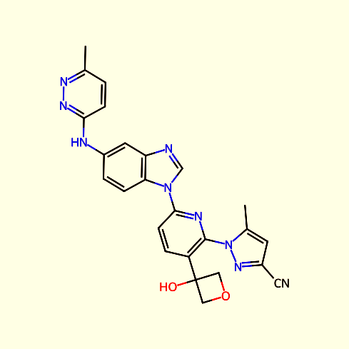 Cc1ccc(Nc2ccc3c(c2)ncn3-c2ccc(C3(O)COC3)c(-n3nc(C#N)cc3C)n2)nn1